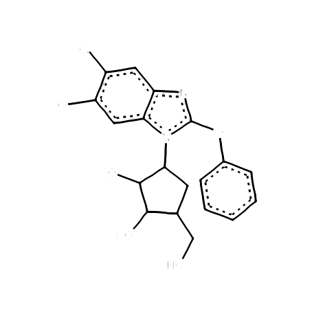 OCC1CC(n2c(Oc3ccccc3)nc3cc(Cl)c(Cl)cc32)C(O)C1O